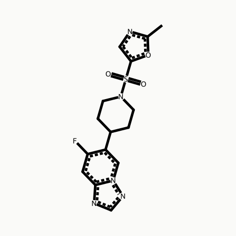 Cc1ncc(S(=O)(=O)N2CCC(c3cn4ncnc4cc3F)CC2)o1